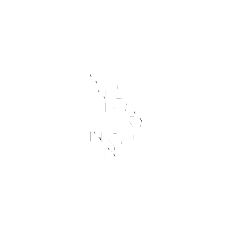 CCc1cc(-c2cc(Oc3ccc(C=N)c(NC)c3)ccn2)ccc1C(=O)NC1CCN(CC)C1